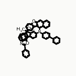 CC1(C)c2ccccc2-c2ccc(N(c3ccc(-c4ccccc4)cc3)c3c4ccccc4cc4oc5ccc(-c6ccc7nc(-c8ccccc8)oc7c6)cc5c34)cc21